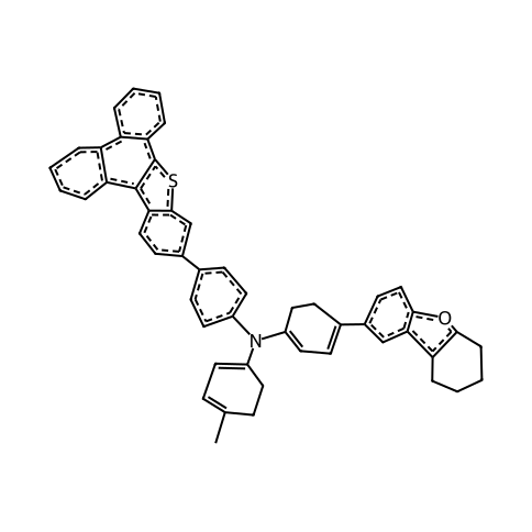 CC1=CC=C(N(C2=CC=C(c3ccc4oc5c(c4c3)CCCC5)CC2)c2ccc(-c3ccc4c(c3)sc3c5ccccc5c5ccccc5c43)cc2)CC1